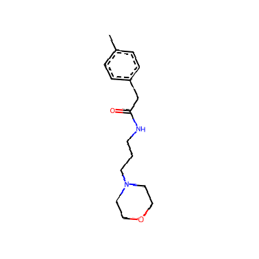 Cc1ccc(CC(=O)NCCCN2CCOCC2)cc1